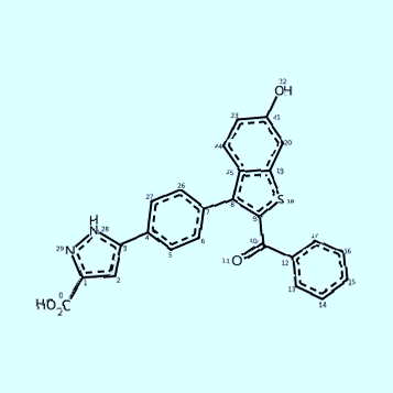 O=C(O)c1cc(-c2ccc(-c3c(C(=O)c4ccccc4)sc4cc(O)ccc34)cc2)[nH]n1